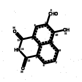 O=Cc1cc2c3c(cccc3c1O)C(=O)NC2=O